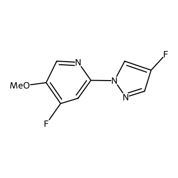 COc1cnc(-n2cc(F)cn2)cc1F